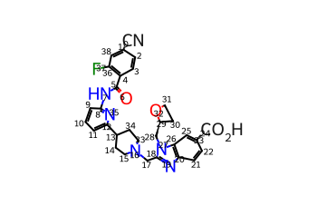 N#Cc1ccc(C(=O)Nc2cccc(C3CCN(Cc4nc5ccc(C(=O)O)cc5n4C[C@@H]4CCO4)CC3)n2)c(F)c1